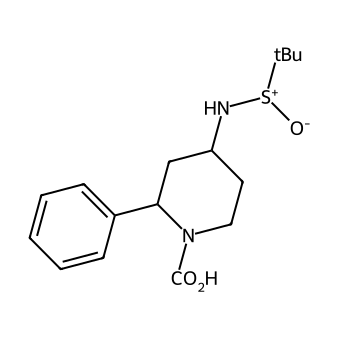 CC(C)(C)[S+]([O-])NC1CCN(C(=O)O)C(c2ccccc2)C1